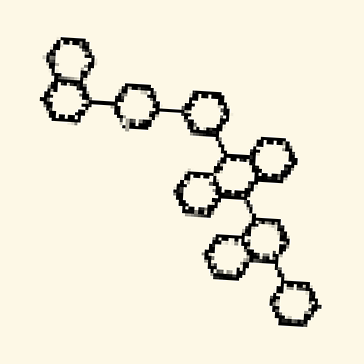 c1ccc(-c2ccc(-c3c4ccccc4c(-c4cccc(-c5ccc(-c6cccc7ccccc67)nc5)c4)c4ccccc34)c3ccccc23)cc1